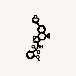 COc1ccccc1S(=O)(=O)Nc1noc2c1CC1(CC1)c1ccc(C3=CCOC3)cc1-2